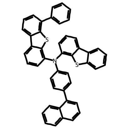 c1ccc(-c2cccc3c2sc2c(N(c4ccc(-c5cccc6ccccc56)cc4)c4cccc5c4sc4ccccc45)cccc23)cc1